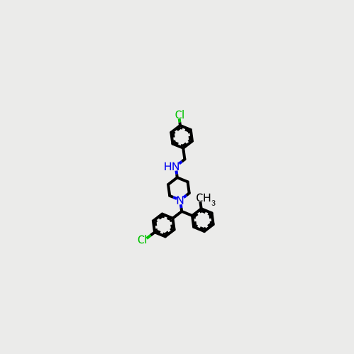 Cc1ccccc1C(c1ccc(Cl)cc1)N1CCC(NCc2ccc(Cl)cc2)CC1